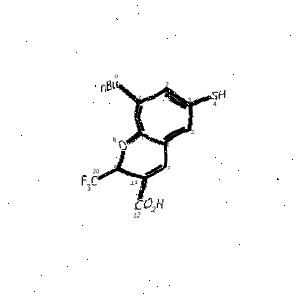 CCCCc1cc(S)cc2c1OC(C(F)(F)F)C(C(=O)O)=C2